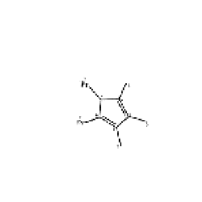 CC1=C(C)C(C(C)C)C(C(C)C)=C1C